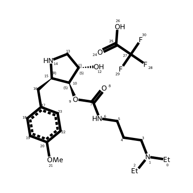 CCN(CC)CCCNC(=O)O[C@@H]1[C@@H](O)CN[C@@H]1Cc1ccc(OC)cc1.O=C(O)C(F)(F)F